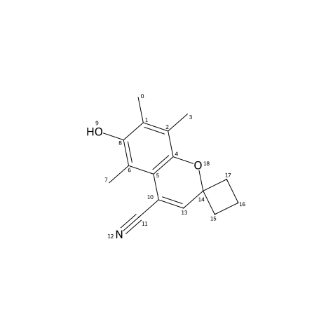 Cc1c(C)c2c(c(C)c1O)C(C#N)=CC1(CCC1)O2